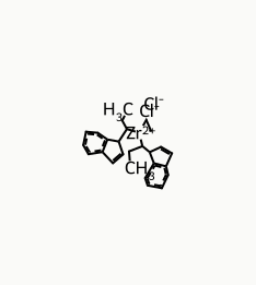 CC[CH](C1C=Cc2ccccc21)[Zr+2]1([CH](CC)C2C=Cc3ccccc32)[CH2][CH2]1.[Cl-].[Cl-]